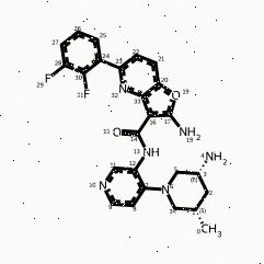 C[C@H]1C[C@@H](N)CN(c2ccncc2NC(=O)c2c(N)oc3ccc(-c4cccc(F)c4F)nc23)C1